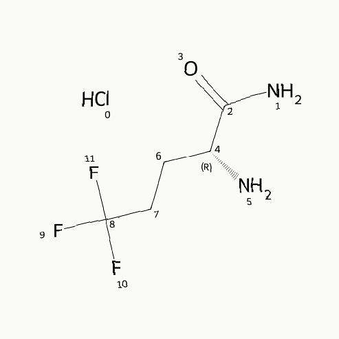 Cl.NC(=O)[C@H](N)CCC(F)(F)F